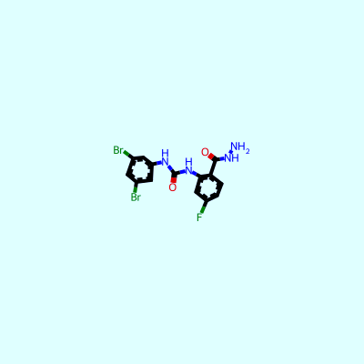 NNC(=O)c1ccc(F)cc1NC(=O)Nc1cc(Br)cc(Br)c1